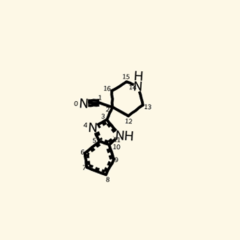 N#CC1(c2nc3ccccc3[nH]2)CCNCC1